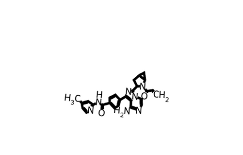 C=CC(=O)N1C(c2nc(-c3ccc(C(=O)Nc4cc(C)ccn4)cc3)c3c(N)nccn23)CC2CC21